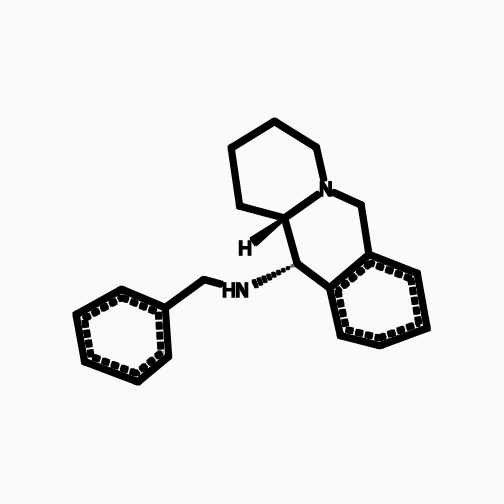 c1ccc(CN[C@H]2c3ccccc3CN3CCCC[C@@H]23)cc1